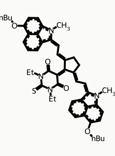 CCCCOc1ccc2c3c1cccc3/c(=C\C=C1/CC/C(=C\C=c3/c4cccc5c(OCCCC)ccc(c54)n3C)C1=C1C(=O)N(CC)C(=S)N(CC)C1=O)n2C